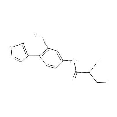 COc1cc(NC(=O)C(N)CC(C)C)ccc1-c1cn[nH]c1